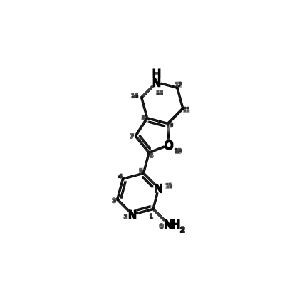 Nc1nccc(-c2cc3c(o2)CCNC3)n1